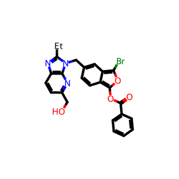 CCc1nc2ccc(CO)nc2n1Cc1ccc2c(OC(=O)c3ccccc3)oc(Br)c2c1